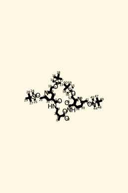 CC(CCNC(=O)c1cc(CO[Si](C)(C)C(C)(C)C)nc(CO[Si](C)(C)C(C)(C)C)c1)C(=O)ONC(=O)c1ccc(CO[Si](C)(C)C(C)(C)C)nc1CO[Si](C)(C)C(C)(C)C